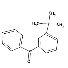 CC(C)(C)c1cccc([P](=O)c2ccccc2)c1